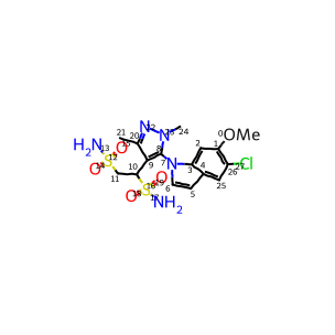 COc1cc2c(ccn2-c2c(C(CS(N)(=O)=O)S(N)(=O)=O)c(C)nn2C)cc1Cl